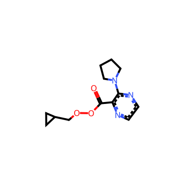 O=C(OOCC1CC1)c1nccnc1N1CCCC1